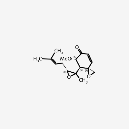 CO[C@@H]1C(=O)C=C[C@]2(CO2)[C@H]1C1(C)O[C@@H]1CC=C(C)C